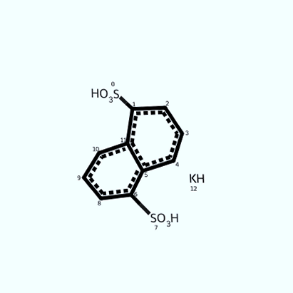 O=S(=O)(O)c1cccc2c(S(=O)(=O)O)cccc12.[KH]